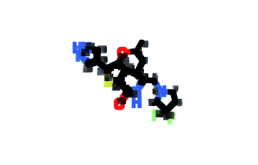 C[C@H]1Cc2c(CN3CCC(F)(F)C3)[nH]c(=O)c3sc(-c4cn[nH]c4)c(c23)O1